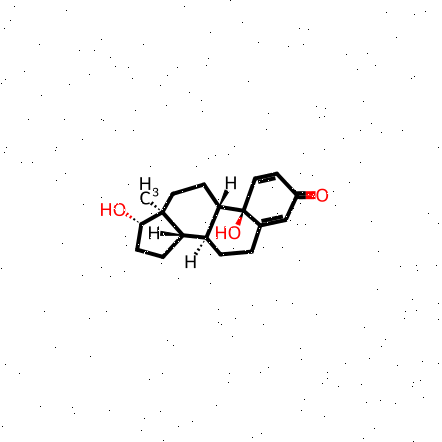 C[C@]12CC[C@H]3[C@@H](CCC4=CC(=O)C=C[C@]43O)[C@@H]1CC[C@@H]2O